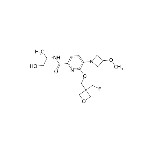 COC1CN(c2ccc(C(=O)NC(C)CO)nc2OCC2(CF)COC2)C1